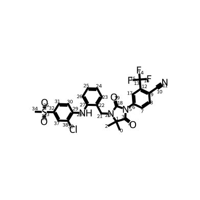 CC1(C)C(=O)N(c2ccc(C#N)c(C(F)(F)F)c2)C(=O)N1Cc1ccccc1Nc1ccc(S(C)(=O)=O)cc1Cl